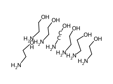 NCCO.NCCO.NCCO.NCCO.NCCO.NCCO.NCCO